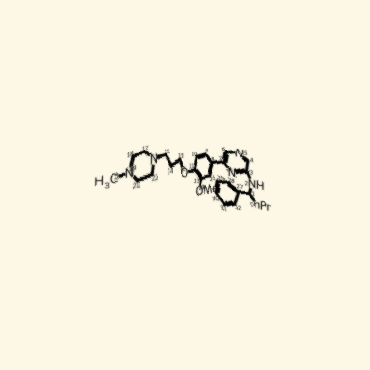 CCCC(Nc1cncc(-c2ccc(OCCCN3CCN(C)CC3)c(OC)c2)n1)c1ccccc1